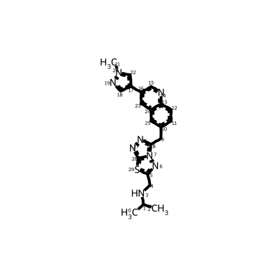 CC(C)NCc1nn2c(Cc3ccc4ncc(-c5cnn(C)c5)cc4c3)nnc2s1